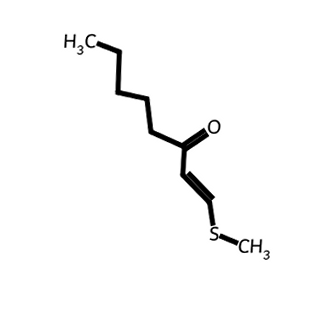 CCCCCC(=O)C=CSC